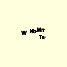 [Mn].[Nb].[Ta].[W]